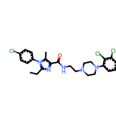 CCc1nc(C(=O)NCCN2CCN(c3cccc(Cl)c3Cl)CC2)c(C)n1-c1ccc(Cl)cc1